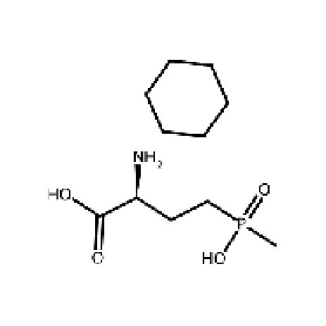 C1CCCCC1.CP(=O)(O)CC[C@H](N)C(=O)O